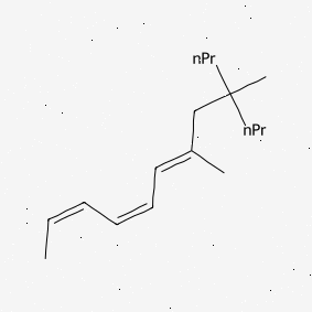 C\C=C/C=C\C=C(/C)CC(C)(CCC)CCC